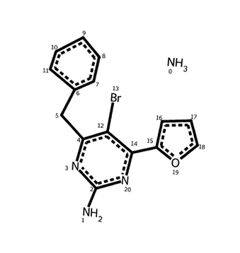 N.Nc1nc(Cc2ccccc2)c(Br)c(-c2ccco2)n1